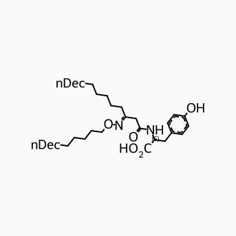 CCCCCCCCCCCCCCCON=C(CCCCCCCCCCCCCCC)CC(=O)N[C@@H](Cc1ccc(O)cc1)C(=O)O